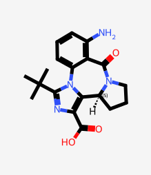 CC(C)(C)c1nc(C(=O)O)c2n1-c1cccc(N)c1C(=O)N1CCC[C@@H]21